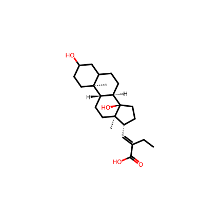 CC/C(=C\[C@H]1CC[C@@]2(O)[C@@H]3CCC4CC(O)CC[C@]4(C)[C@H]3CC[C@]12C)C(=O)O